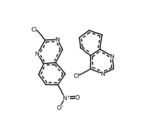 Clc1ncnc2ccccc12.O=[N+]([O-])c1ccc2nc(Cl)ncc2c1